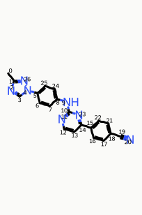 Cc1ncn(-c2ccc(Nc3nccc(-c4ccc(C#N)cc4)n3)cc2)n1